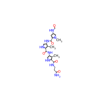 Cc1c(NC(=O)c2[nH]cc(NC(=O)c3cc(NC=O)cn3C)c2C)c[nH]c1C(=O)NCCC(N)=O